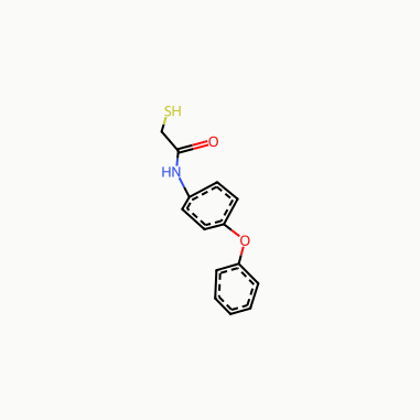 O=C(CS)Nc1ccc(Oc2ccccc2)cc1